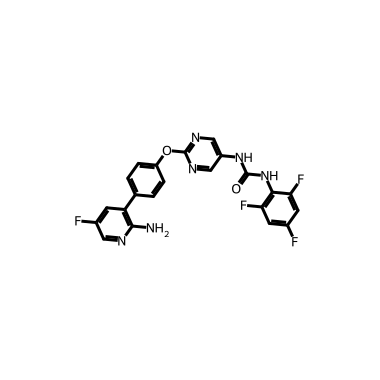 Nc1ncc(F)cc1-c1ccc(Oc2ncc(NC(=O)Nc3c(F)cc(F)cc3F)cn2)cc1